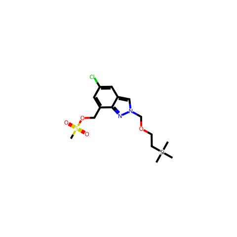 C[Si](C)(C)CCOCn1cc2cc(Cl)cc(COS(C)(=O)=O)c2n1